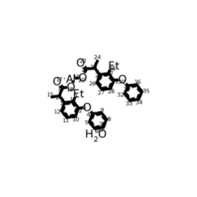 CCc1c(Oc2ccccc2)cccc1C(C)C(=O)[O][Al][O]C(=O)C(C)c1cccc(Oc2ccccc2)c1CC.O